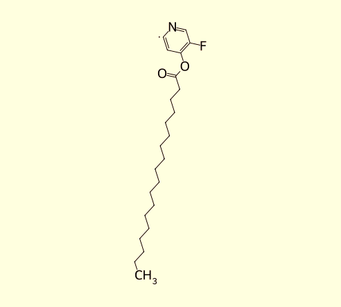 CCCCCCCCCCCCCCCCCC(=O)Oc1c[c]ncc1F